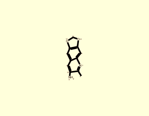 Cc1nc2cc3c(cc2cc1N)OCO3